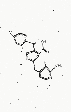 Nc1nccc(Cc2cc(C(=O)O)c(Nc3ccc(I)cc3F)cn2)c1F